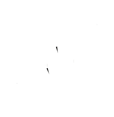 CC1CC2=CC(=O)CC[C@@H]2[C@H]2CC[C@]3(C)C(=O)CC[C@H]3[C@H]12